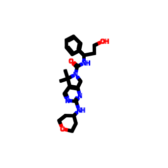 CC1(C)c2cnc(NC3CCOCC3)nc2CN1C(=O)NC(CCO)c1ccccc1